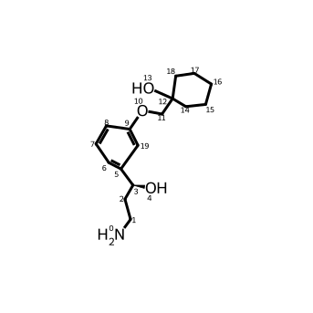 NCC[C@H](O)c1cccc(OCC2(O)CCCCC2)c1